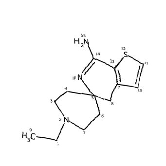 CCN1CCC2(CC1)Cc1ccsc1C(N)=N2